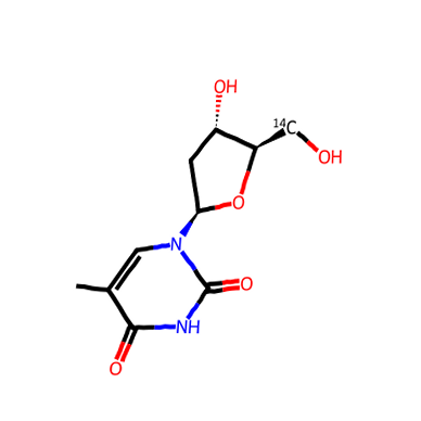 Cc1cn([C@H]2C[C@H](O)[C@@H]([14CH2]O)O2)c(=O)[nH]c1=O